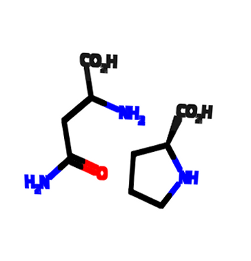 NC(=O)CC(N)C(=O)O.O=C(O)[C@@H]1CCCN1